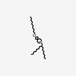 CCCCCCCCCCOC1CC2(CCN(CC(CCCCCCC)CCCCCCC)CC2)C1